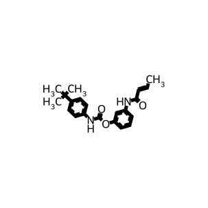 C/C=C/C(=O)Nc1cccc(OC(=O)Nc2ccc(C(C)(C)C)cc2)c1